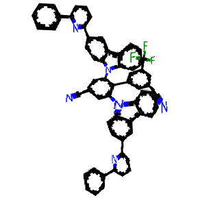 N#Cc1cc(-c2c(-n3c4ccccc4c4cc(-c5cccc(-c6ccccc6)n5)ccc43)cc(C#N)cc2-n2c3ccccc3c3cc(-c4cccc(-c5ccccc5)n4)ccc32)cc(C(F)(F)F)c1